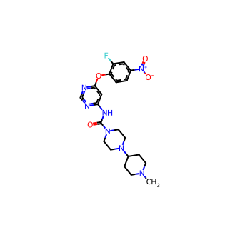 CN1CCC(N2CCN(C(=O)Nc3cc(Oc4ccc([N+](=O)[O-])cc4F)ncn3)CC2)CC1